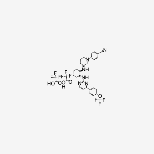 N#Cc1ccc(N2CCC[C@H](N[C@@H]3CCCC[C@H]3Nc3nccc(-c4ccc(OC(F)(F)F)cc4)n3)C2)cc1.O=C(O)C(F)(F)F.O=C(O)C(F)(F)F